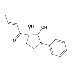 CC=CC(=O)C1(O)CCN(c2ccccc2)C1O